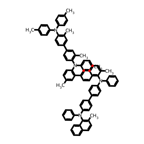 Cc1ccc(N(c2ccc(C)cc2)c2ccc(-c3ccc(N(c4ccc(C)cc4)c4ccc(C)cc4-c4ccc5c(N(c6ccccc6)c6ccc(-c7ccc(N(c8ccccc8)c8c(C)ccc9ccccc89)cc7)cc6)c(C)ccc5c4)c(C)c3)cc2C)cc1